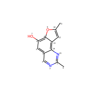 Cc1ncc2cc(O)c3oc(C)cc3c2n1